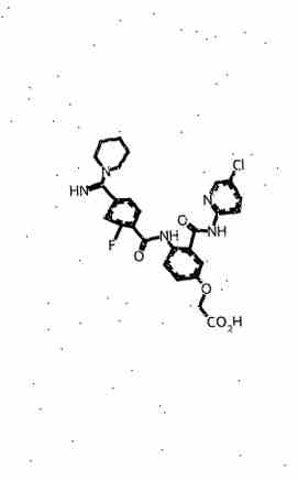 N=C(c1ccc(C(=O)Nc2ccc(OCC(=O)O)cc2C(=O)Nc2ccc(Cl)cn2)c(F)c1)N1CCCCC1